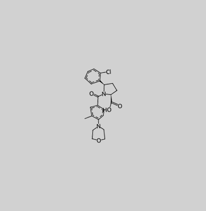 Cc1cc(C(=O)N2[C@@H](c3ccccc3Cl)CC[C@H]2C(=O)O)ccc1N1CCOCC1